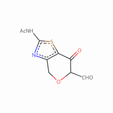 CC(=O)Nc1nc2c(s1)C(=O)C(C=O)OC2